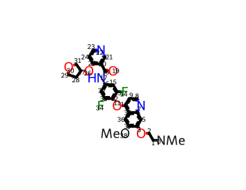 CNCCOc1cc2nccc(Oc3c(F)cc(NC(=O)c4cnccc4O[C@@H]4CCOC4)cc3F)c2cc1OC